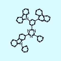 c1ccc(-c2nc(-c3cc(-c4cc5ccccc5c5ccccc45)cc(-n4c5ccccc5c5ccccc54)c3)nc(-c3ccc4c5ccccc5n(-c5ccccc5)c4c3)n2)cc1